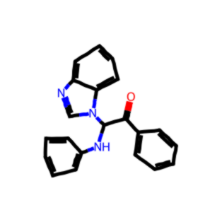 O=C(c1ccccc1)C(Nc1ccccc1)n1cnc2ccccc21